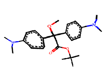 COC(C(=O)OC(C)(C)C)(c1ccc(N(C)C)cc1)c1ccc(N(C)C)cc1